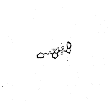 O=S(=O)(c1cccc2ccccc12)c1n[nH]c2c(OCCN3CCCCC3)cccc12